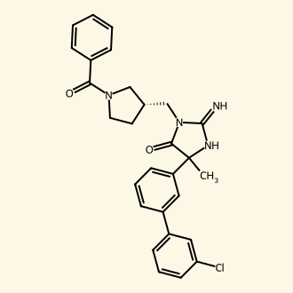 CC1(c2cccc(-c3cccc(Cl)c3)c2)NC(=N)N(C[C@@H]2CCN(C(=O)c3ccccc3)C2)C1=O